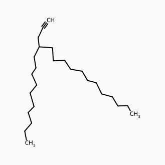 C#CCC(CCCCCCCCCC)CCCCCCCCCCCC